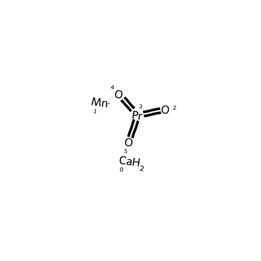 [CaH2].[Mn].[O]=[Pr](=[O])=[O]